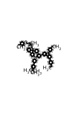 C=Cc1ccc(OCC[Si](C)(C)CCCC2(c3ccccc3)c3ccccc3-c3ccc(N(c4ccc(-c5ccc(C(C)(C)C)cc5)cc4)c4ccc(-c5ccc6c(c5)c5cc(-c7ccc(C=C)cc7)ccc5n6-c5ccc(C=C)cc5)cc4)cc32)cc1